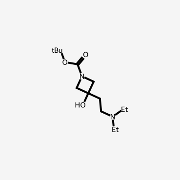 CCN(CC)CCC1(O)CN(C(=O)OC(C)(C)C)C1